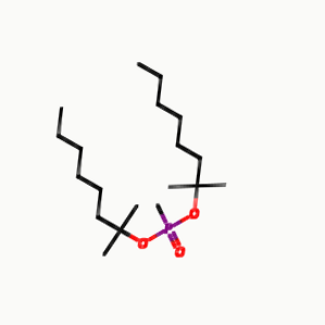 CCCCCCC(C)(C)OP(C)(=O)OC(C)(C)CCCCCC